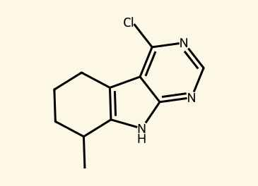 CC1CCCc2c1[nH]c1ncnc(Cl)c21